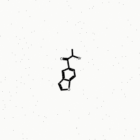 CC(Br)C(=O)c1ccc2occc2c1